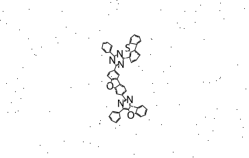 c1ccc(-c2nc(-c3ccc4oc5cc(-c6nc(-c7ccccc7)c7oc8ccccc8c7n6)ccc5c4c3)nc(-c3cccc4c3sc3ccccc34)n2)cc1